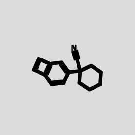 N#CC1(c2ccc3c(c2)C=C3)CCCCC1